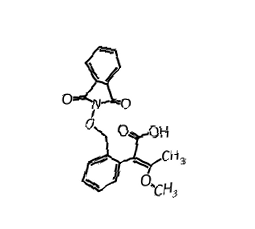 CO/C(C)=C(/C(=O)O)c1ccccc1CON1C(=O)c2ccccc2C1=O